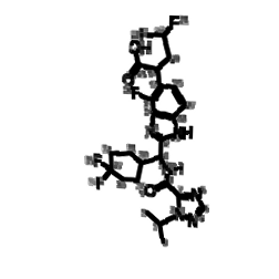 CC(C)n1ncnc1C(=O)NC(c1nc2c(F)c(C(CC(F)F)C(=O)O)ccc2[nH]1)C1CCC(F)(F)CC1